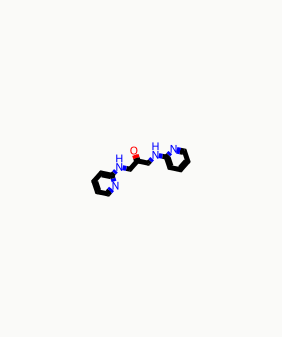 O=C(CNc1ccccn1)CNc1ccccn1